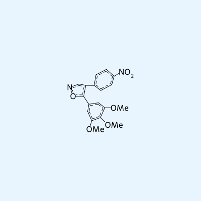 COc1cc(-c2oncc2-c2ccc([N+](=O)[O-])cc2)cc(OC)c1OC